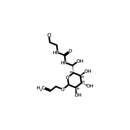 C=CCOC1O[C@H](C(O)NC(=O)NCCCl)[C@@H](O)[C@H](O)[C@H]1O